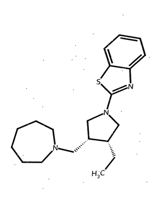 CC[C@H]1CN(c2nc3ccccc3s2)C[C@H]1CN1CCCCCC1